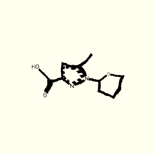 Cc1cc(C(=O)O)nn1C1CCCCO1